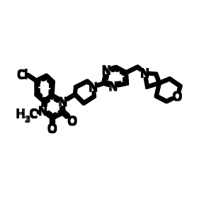 Cn1c(=O)c(=O)n(C2CCN(c3ncc(CN4CC5(CCOCC5)C4)cn3)CC2)c2ccc(Cl)cc21